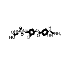 N=C(N)Nc1ccc(C(=O)Oc2ccc(CNS(=O)(=O)NCC(=O)O)c(Cl)c2)cc1